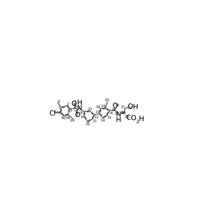 Cc1cc(S(=O)(=O)Nc2cccc(-c3ccc(C(=O)N[C@H](CO)C(=O)O)c(C)c3)c2)c(C)cc1Cl